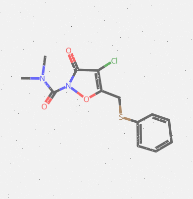 CN(C)C(=O)n1oc(CSc2ccccc2)c(Cl)c1=O